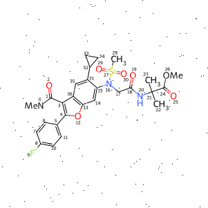 CNC(=O)c1c(-c2ccc(F)cc2)oc2cc(N(CC(=O)NC(C)(C)C(=O)OC)S(C)(=O)=O)c(C3CC3)cc12